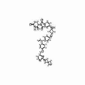 C=CC(c1ccc(OCc2ccnc(N3CC4(COC4)C3)n2)cc1)c1ccc(O[C@H]2C[C@H](Nc3ccc4c(c3)C(=O)N(C3CCC(=O)NC3=O)C4=O)C2)cc1